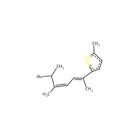 CCC(C)C(C)/C(C)=C\C=C(/C)c1ccc(C)s1